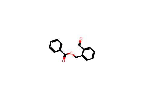 O=Cc1ccccc1COC(=O)c1ccccc1